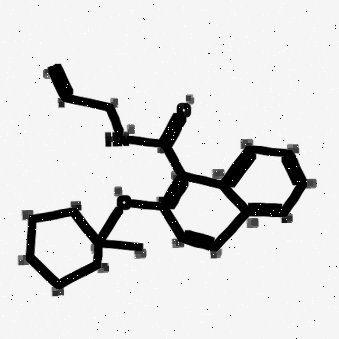 C=CCNC(=O)c1c(OC2(C)CCCCC2)ccc2ccccc12